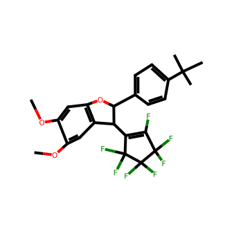 COc1cc2c(cc1OC)C(C1=C(F)C(F)(F)C(F)(F)C1(F)F)C(c1ccc(C(C)(C)C)cc1)O2